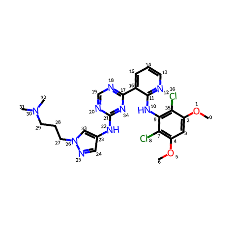 COc1cc(OC)c(Cl)c(Nc2ncccc2-c2ncnc(Nc3cnn(CCCN(C)C)c3)n2)c1Cl